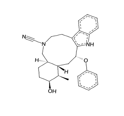 C[C@@H]1[C@H]2C[C@@H](Oc3ccccc3)c3[nH]c4ccccc4c3CCN(C#N)C[C@@H]2CC[C@@H]1O